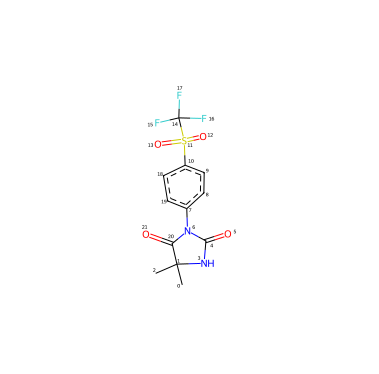 CC1(C)NC(=O)N(c2ccc(S(=O)(=O)C(F)(F)F)cc2)C1=O